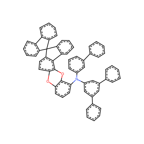 c1ccc(-c2cccc(N(c3cc(-c4ccccc4)cc(-c4ccccc4)c3)c3cccc4c3Oc3c(ccc5c3-c3ccccc3C53c5ccccc5-c5ccccc53)O4)c2)cc1